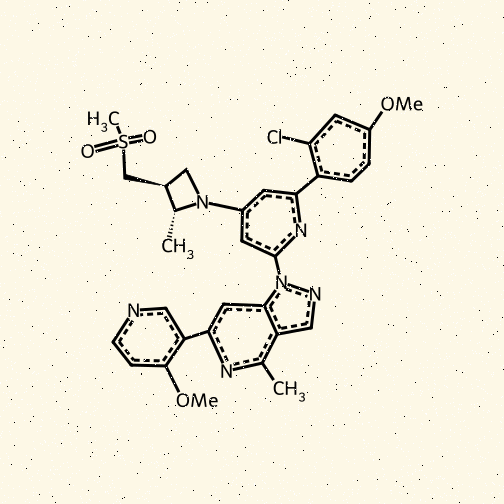 COc1ccc(-c2cc(N3C[C@H](CS(C)(=O)=O)[C@H]3C)cc(-n3ncc4c(C)nc(-c5cnccc5OC)cc43)n2)c(Cl)c1